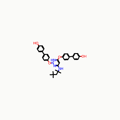 CC(C)(C)CC(C)(C)NC1=NN(Oc2ccc(-c3ccc(O)cc3)cc2)NC(Oc2ccc(-c3ccc(O)cc3)cc2)=C1